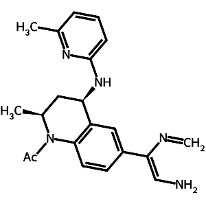 C=N/C(=C\N)c1ccc2c(c1)[C@H](Nc1cccc(C)n1)C[C@H](C)N2C(C)=O